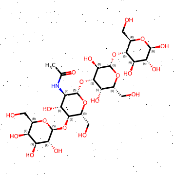 CC(=O)N[C@H]1[C@H](O[C@H]2[C@@H](O)[C@@H](CO)O[C@@H](O[C@H]3[C@H](O)[C@@H](O)[C@H](O)O[C@@H]3CO)[C@@H]2O)O[C@H](CO)[C@@H](O[C@@H]2O[C@H](CO)[C@H](O)[C@H](O)[C@H]2O)[C@@H]1O